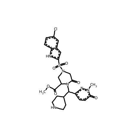 COC(=O)C1CN(S(=O)(=O)c2cc3cc(Cl)ccc3[nH]2)CC(=O)N1C(c1ccc(=O)n(C)n1)C1CCNCC1